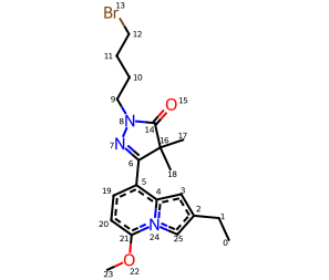 CCc1cc2c(C3=NN(CCCCBr)C(=O)C3(C)C)ccc(OC)n2c1